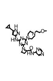 COCCN1CCN(c2nc(Nc3cc(C4CC4)[nH]n3)nc(N3CCC3C(=O)Nc3cnccn3)n2)CC1